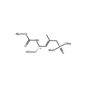 COP(=O)(CC(C)=C[C@H](CO)NC(=O)OC(C)(C)C)OC